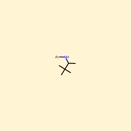 [CH2]C(=O)NC(C)C(C)(C)C